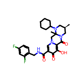 C[C@H]1CN2C(=O)c3c(O)c(=O)c(C(=O)NCc4ccc(F)cc4F)cn3CC2(C)N(C2CCCCC2)C1